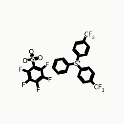 FC(F)(F)c1ccc([S+](c2ccccc2)c2ccc(C(F)(F)F)cc2)cc1.O=S(=O)([O-])c1c(F)c(F)c(F)c(F)c1F